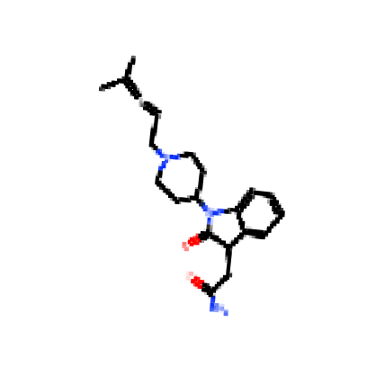 CC(C)=C=CCN1CCC(N2C(=O)C(CC(N)=O)c3ccccc32)CC1